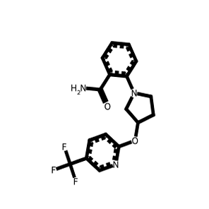 NC(=O)c1ccccc1N1CCC(Oc2ccc(C(F)(F)F)cn2)C1